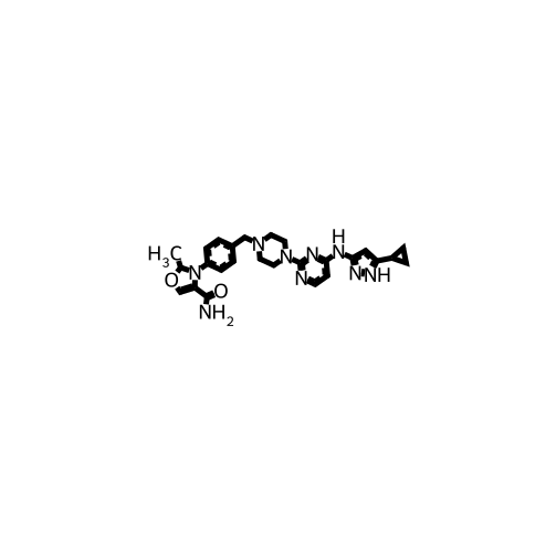 CC1OC=C(C(N)=O)N1c1ccc(CN2CCN(c3nccc(Nc4cc(C5CC5)[nH]n4)n3)CC2)cc1